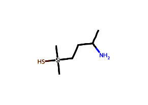 CC(N)CC[Si](C)(C)S